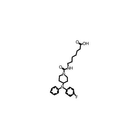 O=C(O)CCCCCCNC(=O)N1CCC(N(c2ccccc2)c2ccc(F)cc2)CC1